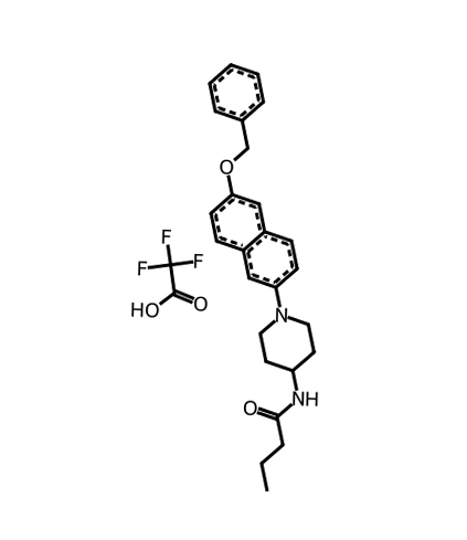 CCCC(=O)NC1CCN(c2ccc3cc(OCc4ccccc4)ccc3c2)CC1.O=C(O)C(F)(F)F